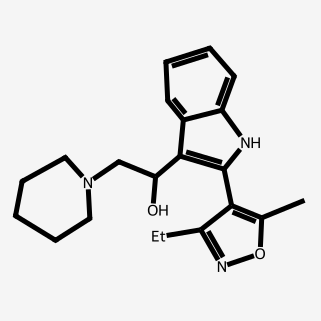 CCc1noc(C)c1-c1[nH]c2ccccc2c1C(O)CN1CCCCC1